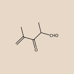 [CH2]C(C=O)C(=O)C(=C)C